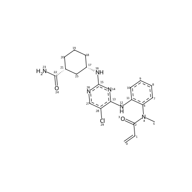 C=CC(=O)N(C)c1ccccc1Nc1nc(N[C@H]2CCC[C@@H](C(N)=O)C2)ncc1Cl